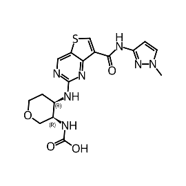 Cn1ccc(NC(=O)c2csc3cnc(N[C@@H]4CCOC[C@@H]4NC(=O)O)nc23)n1